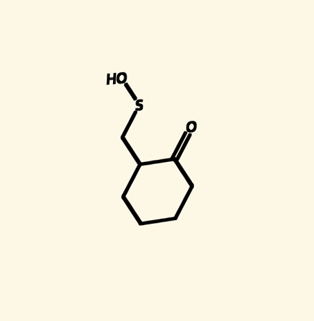 O=C1CCCCC1CSO